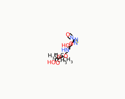 CC(C)(COC(C)(C)CC(=O)O)OCCNC[C@H](O)COc1nsnc1N1CCOCC1